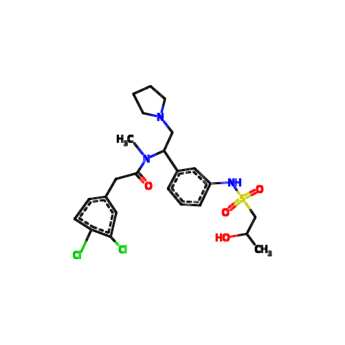 CC(O)CS(=O)(=O)Nc1cccc(C(CN2CCCC2)N(C)C(=O)Cc2ccc(Cl)c(Cl)c2)c1